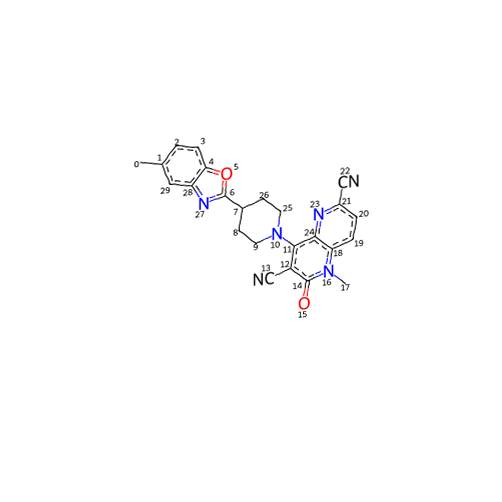 Cc1ccc2oc(C3CCN(c4c(C#N)c(=O)n(C)c5ccc(C#N)nc45)CC3)nc2c1